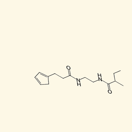 CCC(C)C(=O)NCCNC(=O)CCC1=CC=CC1